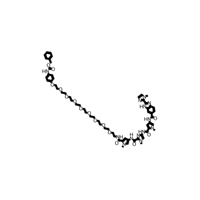 Cn1cc(NC(=O)c2nc(NC(=O)c3cc(NC(=O)c4ccc5nc(-c6nccn6C)[nH]c5c4)cn3C)cn2C)cc1C(=O)NCCOCCOCCOCCOCCOCCOCCOCCOCCOc1ccc(NC(=O)OCc2ccccc2)cc1